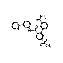 CS(=O)(=O)c1ccc(C(=O)Nc2cccc(-c3ccccn3)c2)c(-c2cccc(C(N)=O)c2)c1